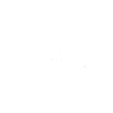 CCCCCCCCC(C=CCCc1ccccc1CCCCCO)OC(C)=O